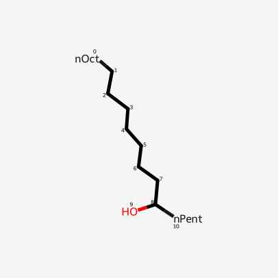 CCCCCCCCCCCCCCCC(O)CCCCC